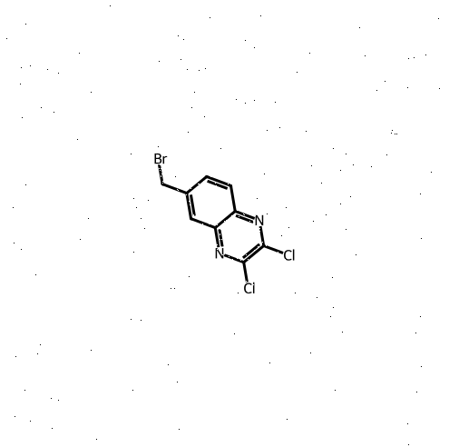 Clc1nc2ccc(CBr)cc2nc1Cl